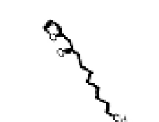 CCCCCCCCCC(=O)Cc1ccco1